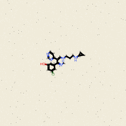 C/N=C(\C(=C/NCCCNC1CC1)c1ccncn1)c1cc(O)cc(Cl)c1